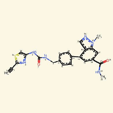 C#Cc1nc(NC(=O)NCc2ccc(-c3cc(C(=O)NC)cc4c3cnn4C)cc2)cs1